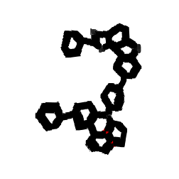 c1ccc(-c2ccc(N(c3ccccc3)c3ccc(-c4ccc5oc6ccc7nc(-c8ccccc8)oc7c6c5c4)cc3)c(-c3ccccc3)c2)cc1